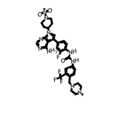 CN1CCN(Cc2ccc(NC(=O)Nc3ccc(-c4cn(C5CCN(S(C)(=O)=O)CC5)c5ncnc(N)c45)cc3F)cc2C(F)(F)F)CC1